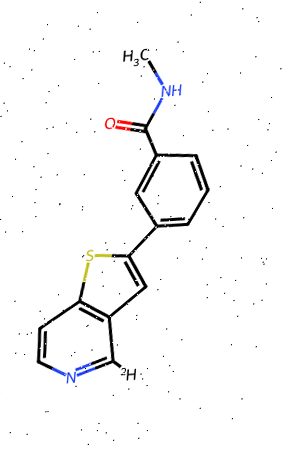 [2H]c1nccc2sc(-c3cccc(C(=O)NC)c3)cc12